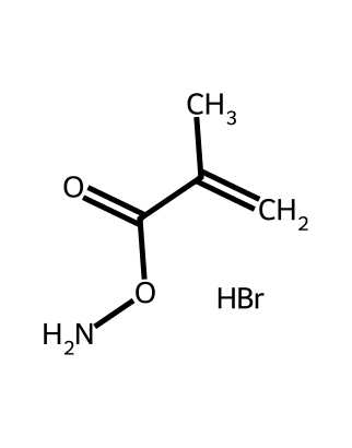 Br.C=C(C)C(=O)ON